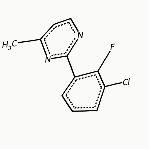 Cc1ccnc(-c2cccc(Cl)c2F)n1